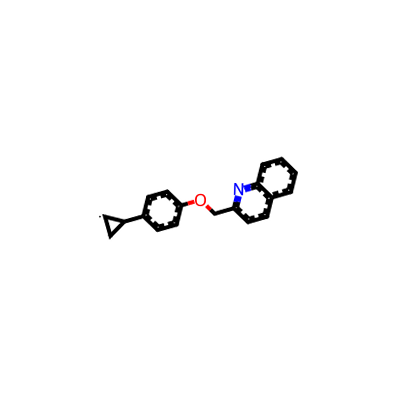 [CH]1CC1c1ccc(OCc2ccc3ccccc3n2)cc1